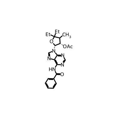 CCC1(CC)O[C@@H](n2cnc3c(NC(=O)c4ccccc4)ncnc32)[C@@H](OC(C)=O)C1C